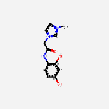 Cn1cc[n+](CC(=O)Nc2ccc(O)cc2O)c1